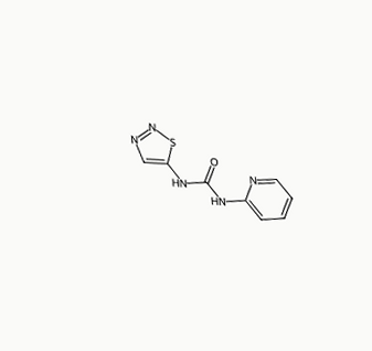 O=C(Nc1ccccn1)Nc1cnns1